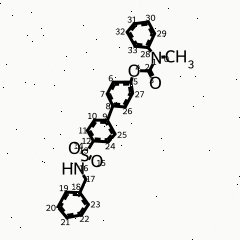 CN(C(=O)Oc1ccc(-c2ccc(S(=O)(=O)NCc3ccccc3)cc2)cc1)c1ccccc1